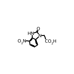 O=C(O)Cn1c(=O)[nH]c2c([N+](=O)[O-])cccc21